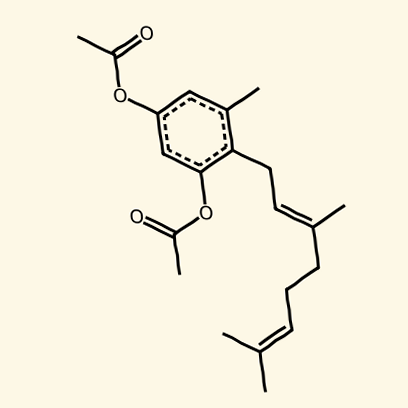 CC(=O)Oc1cc(C)c(C/C=C(\C)CCC=C(C)C)c(OC(C)=O)c1